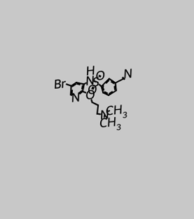 CN(C)CCCOc1ncc(Br)cc1NS(=O)(=O)c1cccc(C#N)c1